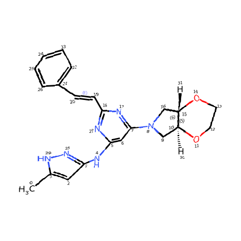 Cc1cc(Nc2cc(N3C[C@@H]4OCCO[C@H]4C3)nc(/C=C/c3ccccc3)n2)n[nH]1